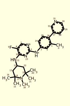 Cc1cc(Nc2ncc(F)c(NC3CC(C)(C)N(C)C(C)(C)C3)n2)ccc1-c1cccnc1